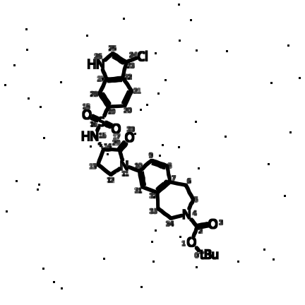 CC(C)(C)OC(=O)N1CCc2ccc(N3CC[C@H](NS(=O)(=O)c4ccc5c(Cl)c[nH]c5c4)C3=O)cc2CC1